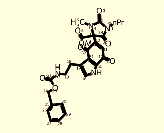 CCCN1C(=O)N(C)C(C(=O)OC)(C2=CC(=O)c3[nH]cc(CCNC(=O)OCc4ccccc4)c3C2=O)C1=O